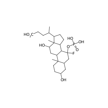 CC(CCC(=O)O)C1CCC2C3C(CC(O)C12C)C1(C)CCC(O)CC1CC3(F)OP(=O)(O)O